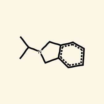 CC(C)N1Cc2ccccc2C1